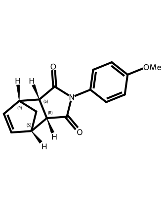 COc1ccc(N2C(=O)[C@@H]3[C@H](C2=O)[C@@H]2C=C[C@H]3C2)cc1